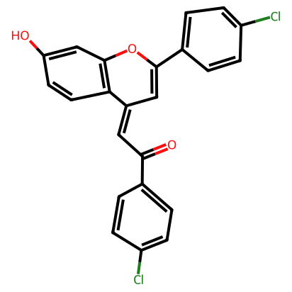 O=C(C=C1C=C(c2ccc(Cl)cc2)Oc2cc(O)ccc21)c1ccc(Cl)cc1